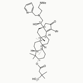 CNCCN(Cc1ccccn1)C[C@H](O)[C@@]12CC[C@]3(C)[C@H](CC[C@@H]4[C@@]5(C)CC[C@H](OC(=O)CC(C)(C)C(=O)O)C(C)(C)[C@@H]5CC[C@]43C)C1=C(C(C)C)C(=O)C2